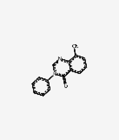 N#Cc1cccc2c(=O)n(-c3ccccc3)cnc12